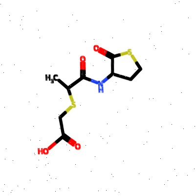 CC(SCC(=O)O)C(=O)NC1CCSC1=O